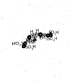 Cc1cc(Nc2nc(Nc3ccc(/N=N/c4cc(S(=O)(=O)O)c5cccc(S(=O)(=O)O)c5c4)c(C)c3)nc(N3CC3O)n2)ccc1/N=N/c1cc(S(=O)(=O)O)c2cccc(S(=O)(=O)O)c2c1